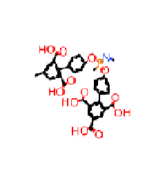 CN=P(C)(Oc1ccc(-c2c(C(=O)O)cc(C)cc2C(=O)O)cc1)Oc1ccc(-c2c(C(=O)O)cc(C(=O)O)cc2C(=O)O)cc1